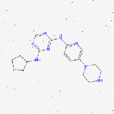 c1nc(Nc2ccc(N3CCNCC3)cn2)nc(NC2CCCC2)n1